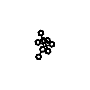 C1=CC(c2c3ccccc3c(-c3ccccc3)c3ccccc23)(C2(c3ccccc3)c3ccccc3-c3ccccc32)CC=C1c1ccccc1